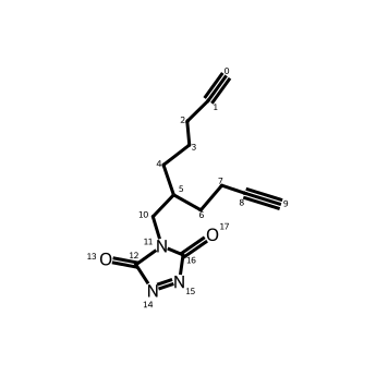 C#CCCCC(CCC#C)CN1C(=O)N=NC1=O